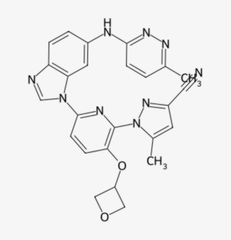 Cc1ccc(Nc2ccc3ncn(-c4ccc(OC5COC5)c(-n5nc(C#N)cc5C)n4)c3c2)nn1